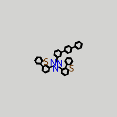 c1ccc(-c2ccc(-c3cccc(-c4nc(-c5cccc6c5sc5ccccc56)nc(-c5cccc6sc7ccccc7c56)n4)c3)cc2)cc1